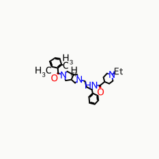 CCN1CCC(C(=O)NC(CCN2CC3CN(C(=O)c4c(C)cccc4C)C[C@@H]3C2)c2ccccc2)CC1